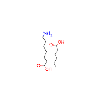 CCCCCC(=O)O.NCCCCCCC(=O)O